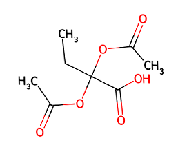 CCC(OC(C)=O)(OC(C)=O)C(=O)O